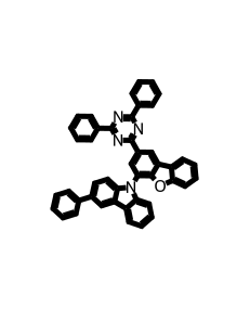 c1ccc(-c2ccc3c(c2)c2ccccc2n3-c2cc(-c3nc(-c4ccccc4)nc(-c4ccccc4)n3)cc3c2oc2ccccc23)cc1